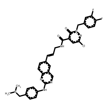 CN(C)Cc1ccc(Nc2ncc3cc(C=CCNC(=O)c4cc(Cl)nn(Cc5ccc(F)c(F)c5)c4=O)ccc3n2)cc1